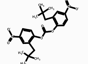 CC(C)(C)Cc1cc([N+](=O)[O-])ccc1OC(=O)Oc1ccc([N+](=O)[O-])cc1CC(C)(C)C